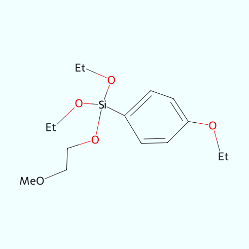 CCOc1ccc([Si](OCC)(OCC)OCCOC)cc1